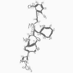 Cn1cc(-c2cnc3c(c2)NC[C@@H]([C@H](NCCc2ccccc2Cl)c2ccccc2)O3)cn1